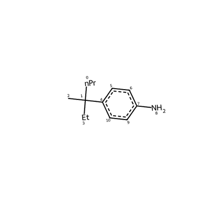 CCCC(C)(CC)c1ccc(N)cc1